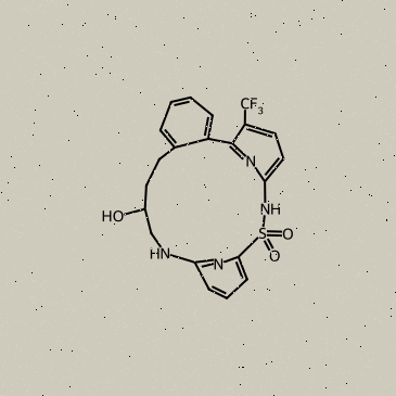 O=S1(=O)Nc2ccc(C(F)(F)F)c(n2)-c2ccccc2CCC(O)CNc2cccc1n2